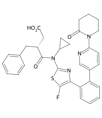 O=C(O)C[C@@H](Cc1ccccc1)C(=O)N(c1nc(-c2ccccc2-c2ccc(N3CCCCC3=O)nc2)c(F)s1)C1CC1